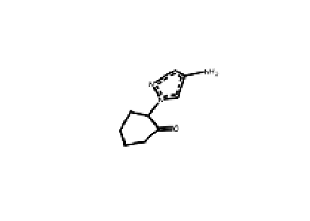 Nc1cnn(C2CCCCC2=O)c1